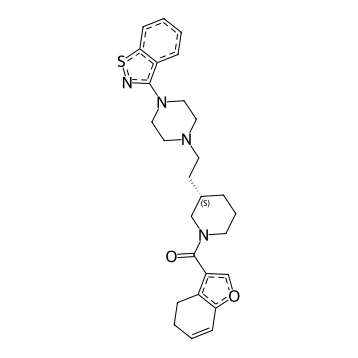 O=C(c1coc2c1CCC=C2)N1CCC[C@@H](CCN2CCN(c3nsc4ccccc34)CC2)C1